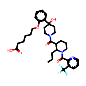 CCCC1C(C(=O)N2CCC(O)(c3ccccc3OCCCCCC(=O)O)CC2)CCCN1C(=O)c1ncccc1C(F)(F)F